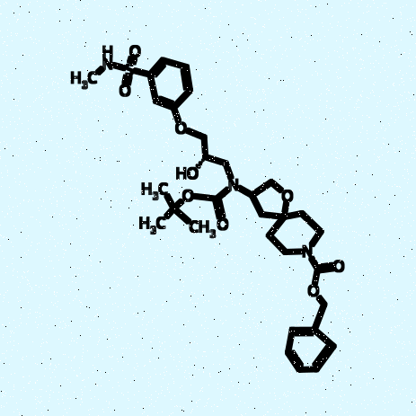 CNS(=O)(=O)c1cccc(OC[C@@H](O)CN(C(=O)OC(C)(C)C)C2COC3(CCN(C(=O)OCc4ccccc4)CC3)C2)c1